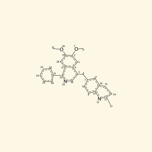 COc1cc2c(Cc3ccc4nc(C)ccc4c3)cnc(-c3ccccc3)c2cc1OC